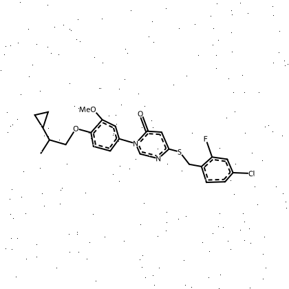 COc1cc(-n2cnc(SCc3ccc(Cl)cc3F)cc2=O)ccc1OCC(C)C1CC1